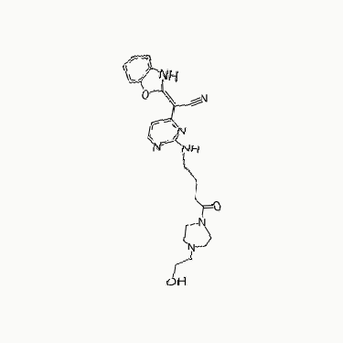 N#CC(=C1Nc2ccccc2O1)c1ccnc(NCCCC(=O)N2CCN(CCO)CC2)n1